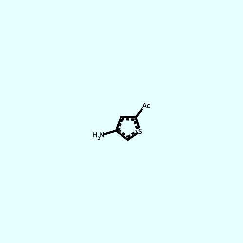 CC(=O)c1cc(N)cs1